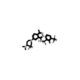 Cc1c([C@@H](C)Nc2nnc(C)c3ccc(N4CC[C@H](N(C)C)C(F)(F)C4)cc23)cccc1C(F)(F)F